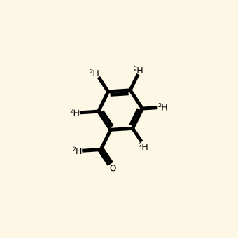 [2H]C(=O)c1c([2H])c([2H])c([2H])c([2H])c1[2H]